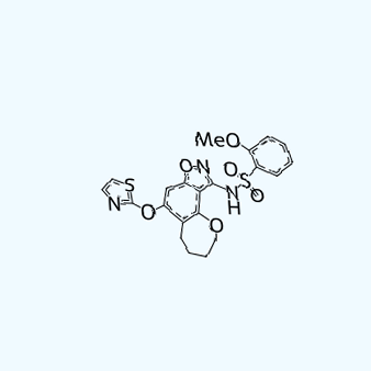 COc1ccccc1S(=O)(=O)Nc1noc2cc(Oc3nccs3)c3c(c12)OCCCC3